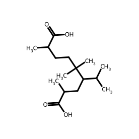 CC(CCC(C)(C)C(CC(C)C(=O)O)C(C)C)C(=O)O